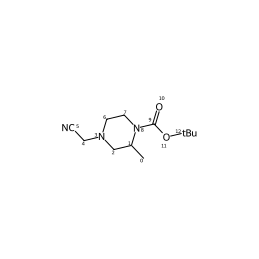 CC1CN(CC#N)CCN1C(=O)OC(C)(C)C